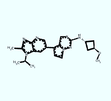 CO[C@H]1C[C@H](Nc2ncc3c(-c4cnc5nc(C)n(C(C)C)c5c4)ccn3n2)C1